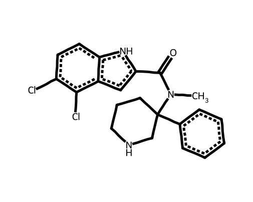 CN(C(=O)c1cc2c(Cl)c(Cl)ccc2[nH]1)C1(c2ccccc2)CCCNC1